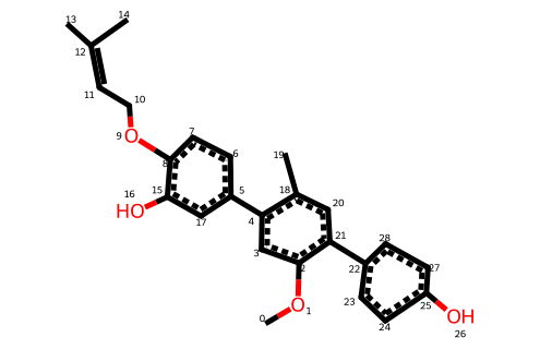 COc1cc(-c2ccc(OCC=C(C)C)c(O)c2)c(C)cc1-c1ccc(O)cc1